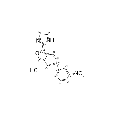 Cl.O=[N+]([O-])c1cccc(-c2ccc3c(C4=NCCN4)occ3c2)c1